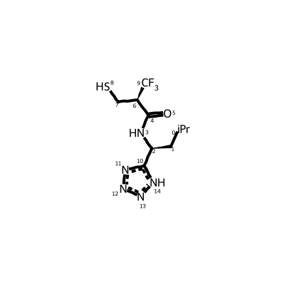 CC(C)C[C@H](NC(=O)[C@@H](CS)C(F)(F)F)c1nnn[nH]1